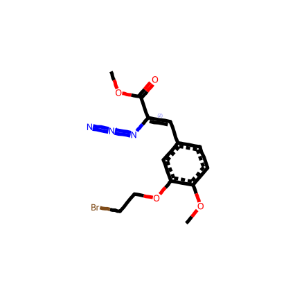 COC(=O)/C(=C/c1ccc(OC)c(OCCBr)c1)N=[N+]=[N-]